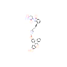 O=C1CCC(N2Cc3c(C#CCCC4CN(CCOc5ccc(C6c7ccc(O)cc7OC[C@@H]6c6ccccc6)cc5)C4)cccc3C2=O)C(=O)N1